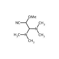 COC(C#N)C(N(C)C)N(C)C